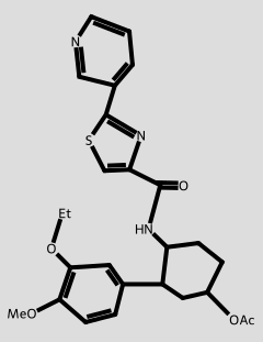 CCOc1cc(C2CC(OC(C)=O)CCC2NC(=O)c2csc(-c3cccnc3)n2)ccc1OC